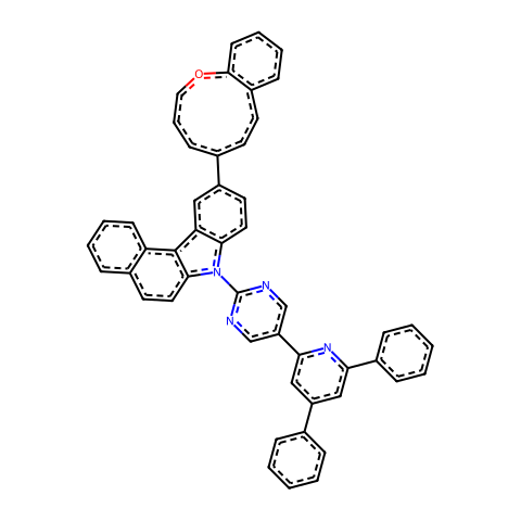 c1ccc(-c2cc(-c3ccccc3)nc(-c3cnc(-n4c5ccc(-c6cccoc7ccccc7cc6)cc5c5c6ccccc6ccc54)nc3)c2)cc1